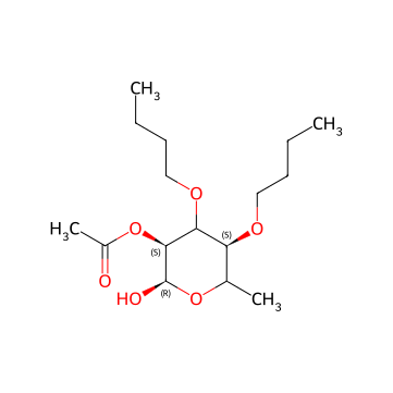 CCCCOC1[C@@H](OCCCC)C(C)O[C@@H](O)[C@H]1OC(C)=O